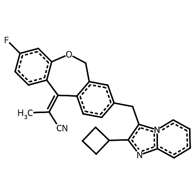 C/C(C#N)=C1/c2ccc(Cc3c(C4CCC4)nc4ccccn34)cc2COc2cc(F)ccc21